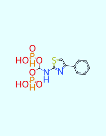 O=[PH](O)OC(Nc1nc(-c2ccccc2)cs1)O[PH](=O)O